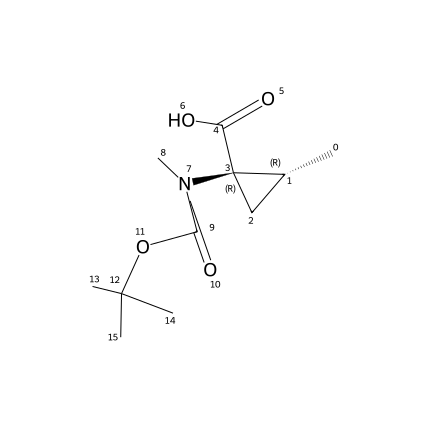 C[C@@H]1C[C@@]1(C(=O)O)N(C)C(=O)OC(C)(C)C